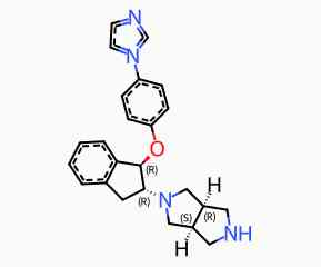 c1ccc2c(c1)C[C@@H](N1C[C@H]3CNC[C@H]3C1)[C@@H]2Oc1ccc(-n2ccnc2)cc1